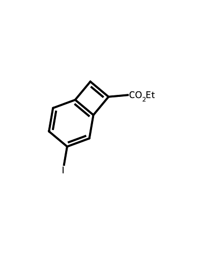 CCOC(=O)C1=Cc2ccc(I)cc21